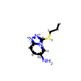 CCCSc1nnc2ccc(N)cn12